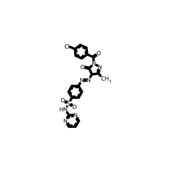 CC1=NN(C(=O)c2ccc(Cl)cc2)C(=O)C1N=Nc1ccc(S(=O)(=O)Nc2ncccn2)cc1